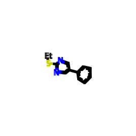 CCSc1ncc(-c2ccccc2)cn1